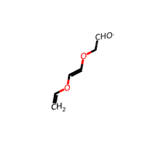 C=COC=COC[C]=O